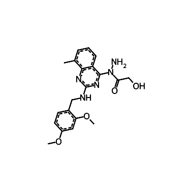 COc1ccc(CNc2nc(N(N)C(=O)CO)c3cccc(C)c3n2)c(OC)c1